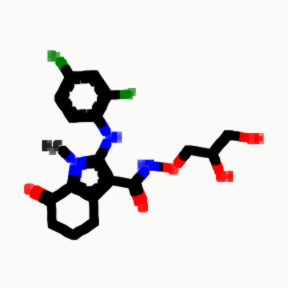 Cn1c(Nc2ccc(Br)cc2F)c(C(=O)NOCC(O)CO)c2c1C(=O)CCC2